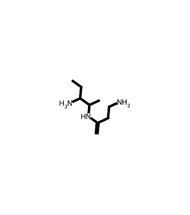 C=C(CCN)NC(C)C(N)CC